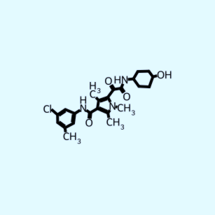 Cc1cc(Cl)cc(NC(=O)c2c(C)c(C(=O)C(=O)NC3CCC(O)CC3)n(C)c2C)c1